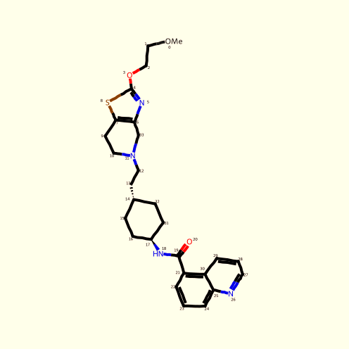 COCCOc1nc2c(s1)CCN(CC[C@H]1CC[C@H](NC(=O)c3cccc4ncccc34)CC1)C2